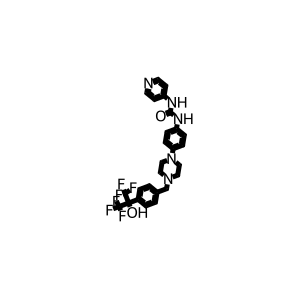 O=C(Nc1ccncc1)Nc1ccc(N2CCN(Cc3ccc(C(O)(C(F)(F)F)C(F)(F)F)cc3)CC2)cc1